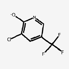 [O]c1ncc(C(F)(F)F)cc1Cl